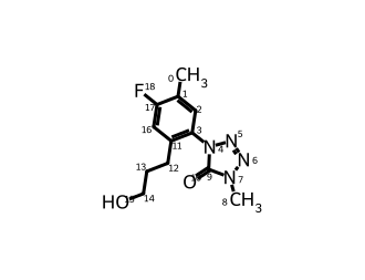 Cc1cc(-n2nnn(C)c2=O)c(CCCO)cc1F